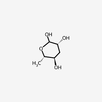 C[C@@H]1OC(O)[C@H](O)C[C@H]1O